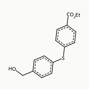 CCOC(=O)c1ccc(Sc2ccc(CO)cc2)cc1